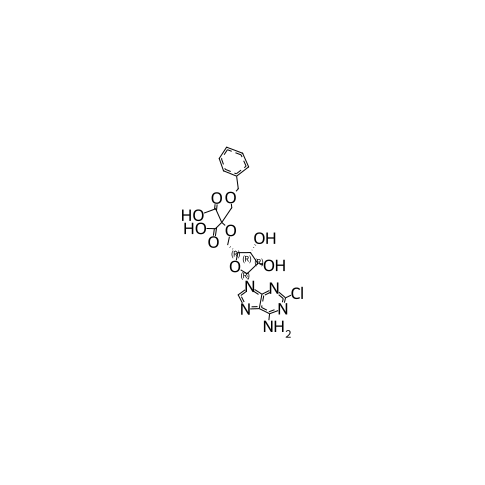 Nc1nc(Cl)nc2c1ncn2[C@@H]1O[C@H](COC(COCc2ccccc2)(C(=O)O)C(=O)O)[C@H](O)[C@H]1O